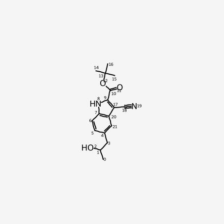 CC(O)Cc1ccc2[nH]c(C(=O)OC(C)(C)C)c(C#N)c2c1